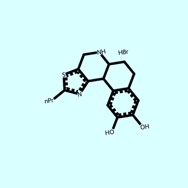 Br.CCCc1nc2c(s1)CNC1CCc3cc(O)c(O)cc3C21